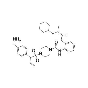 C=CC(c1ccc(CN)cc1)S(=O)(=O)N1CCN(C(=O)Nc2ccccc2CNC(C)CC2CCCCC2)CC1